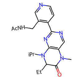 CCC1C(=O)N(C)c2cnc(-c3ccncc3CNC(C)=O)nc2N1C(C)C